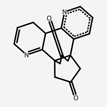 O=C1CC23CC(=O)CC2(C1)c1cccnc1C1CC=CN=C13